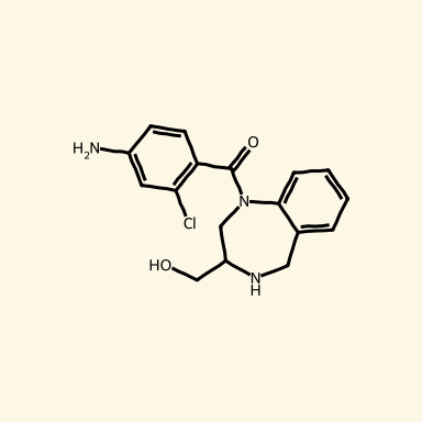 Nc1ccc(C(=O)N2CC(CO)NCc3ccccc32)c(Cl)c1